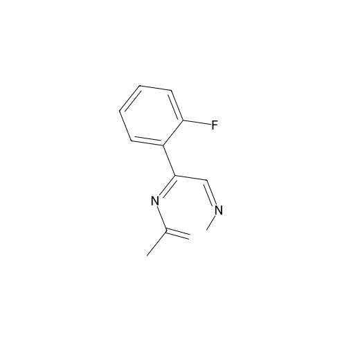 C=C(C)/N=C(\C=N/C)c1ccccc1F